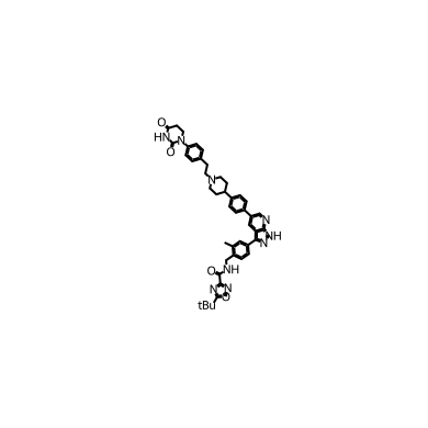 Cc1cc(-c2n[nH]c3ncc(-c4ccc(C5CCN(CCc6ccc(N7CCC(=O)NC7=O)cc6)CC5)cc4)cc23)ccc1CNC(=O)c1noc(C(C)(C)C)n1